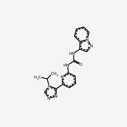 CC(C)n1cnnc1-c1cccc(NC(=O)Nc2cnn3ccccc23)n1